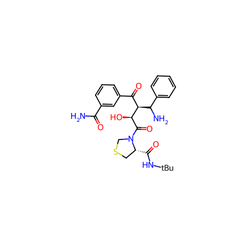 CC(C)(C)NC(=O)[C@@H]1CSCN1C(=O)[C@@H](O)[C@@H](C(=O)c1cccc(C(N)=O)c1)C(N)c1ccccc1